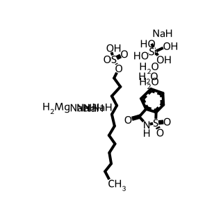 CCCCCCCCCCCCOS(=O)(=O)O.O.O.O.O=C1NS(=O)(=O)c2ccccc21.O[Si](O)(O)O.[MgH2].[NaH].[NaH].[NaH].[NaH].[NaH]